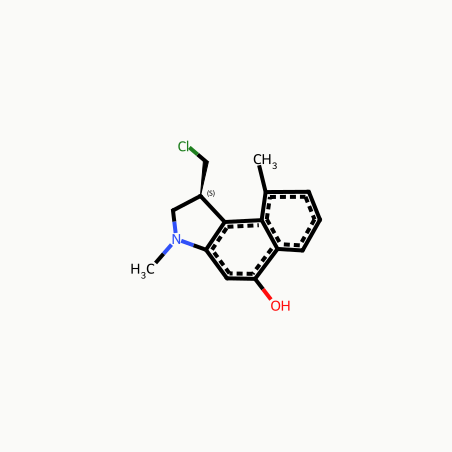 Cc1cccc2c(O)cc3c(c12)[C@H](CCl)CN3C